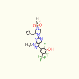 Cn1nc(-c2cc(C(F)(F)F)c(F)c(O)c2F)c2cnc(N3CCN(S(C)(=O)=O)CC3CC3CCC3)nc21